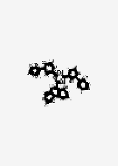 c1ccc(-c2cccc(-c3nc(-c4cccc(-c5ccccc5)c4)nc(-c4cc5ccccc5c5ccccc45)n3)c2)cc1